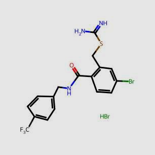 Br.N=C(N)SCc1cc(Br)ccc1C(=O)NCc1ccc(C(F)(F)F)cc1